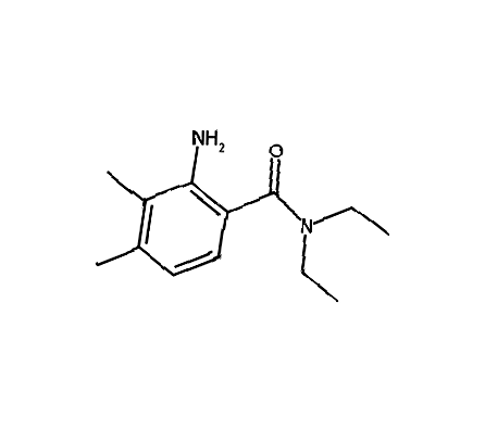 CCN(CC)C(=O)c1ccc(C)c(C)c1N